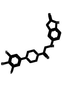 O=C1Cc2cc(NCC(=O)N3CCN(c4cc(F)c(Cl)c(F)c4)CC3)ccc2N1